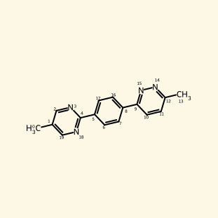 Cc1cnc(-c2ccc(-c3ccc(C)nn3)cc2)nc1